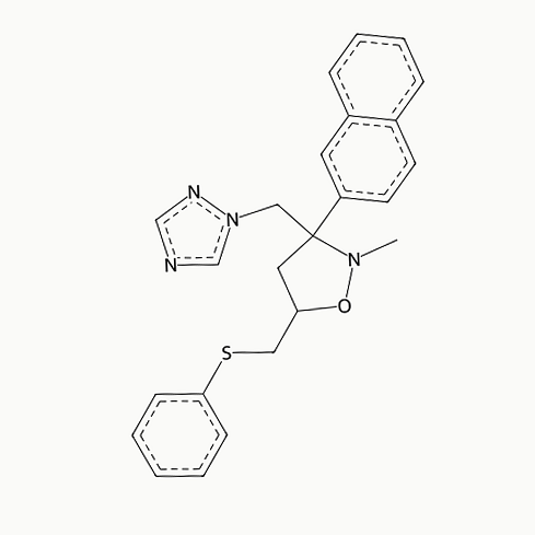 CN1OC(CSc2ccccc2)CC1(Cn1cncn1)c1ccc2ccccc2c1